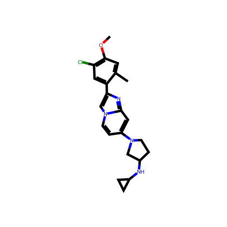 COc1cc(C)c(-c2cn3ccc(N4CCC(NC5CC5)C4)cc3n2)cc1Cl